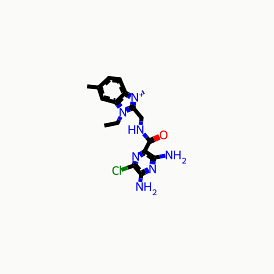 CCn1c(CNC(=O)c2nc(Cl)c(N)nc2N)[n+](C)c2ccc(C)cc21